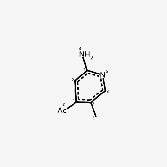 CC(=O)c1cc(N)ncc1C